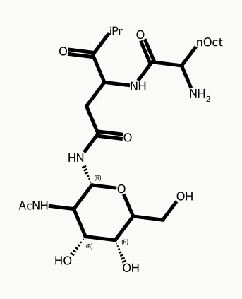 CCCCCCCCC(N)C(=O)NC(CC(=O)N[C@@H]1OC(CO)[C@H](O)[C@H](O)C1NC(C)=O)C(=O)C(C)C